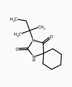 CCC(C)(C)N1C(=O)NC2(CCCCC2)C1=O